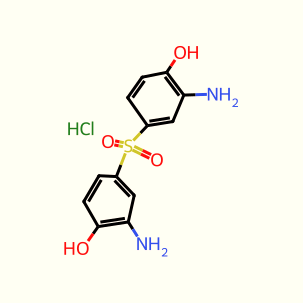 Cl.Nc1cc(S(=O)(=O)c2ccc(O)c(N)c2)ccc1O